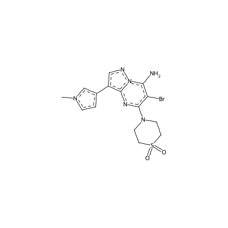 Cn1ccc(-c2cnn3c(N)c(Br)c(N4CCS(=O)(=O)CC4)nc23)c1